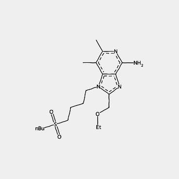 CCCCS(=O)(=O)CCCCn1c(COCC)nc2c(N)nc(C)c(C)c21